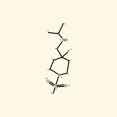 CC(C)NCC1(F)CCN(S(C)(=O)=O)CC1